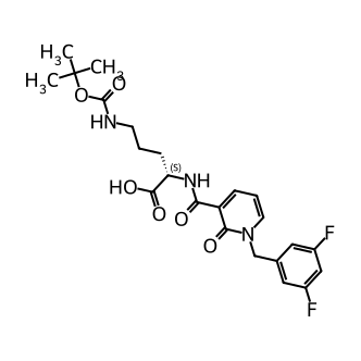 CC(C)(C)OC(=O)NCCC[C@H](NC(=O)c1cccn(Cc2cc(F)cc(F)c2)c1=O)C(=O)O